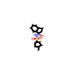 Cc1ccc(S(=O)(=O)N[C@]2(O)CCc3ccccc32)cc1